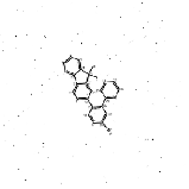 CC1(C)c2ccccc2-c2ccc(-c3ccc(Br)cc3-c3ccccc3)cc21